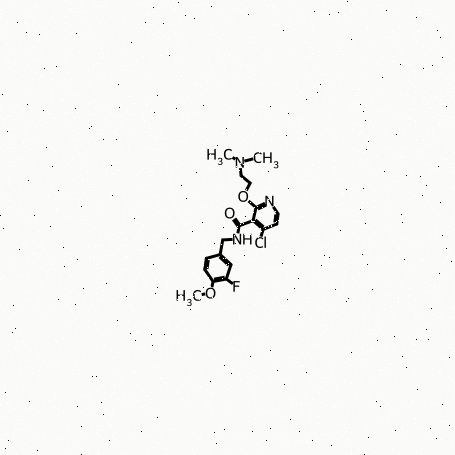 COc1ccc(CNC(=O)c2c(Cl)ccnc2OCCN(C)C)cc1F